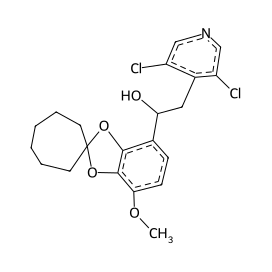 COc1ccc(C(O)Cc2c(Cl)cncc2Cl)c2c1OC1(CCCCCC1)O2